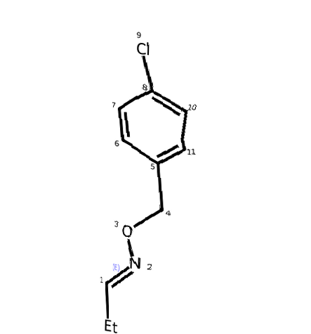 CC/C=N/OCc1ccc(Cl)cc1